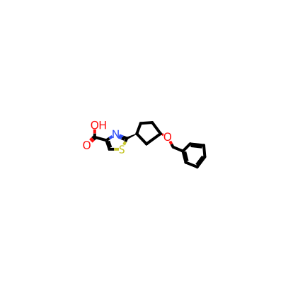 O=C(O)c1csc([C@H]2CC[C@@H](OCc3ccccc3)C2)n1